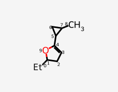 CCC1CC=C(C2CC2C)O1